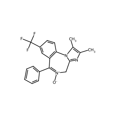 Cc1nc2n(c1C)-c1ccc(C(F)(F)F)cc1C(c1ccccc1)=[N+]([O-])C2